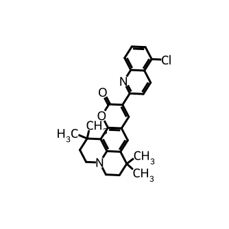 CC1(C)CCN2CCC(C)(C)c3c2c1cc1cc(-c2ccc4c(Cl)cccc4n2)c(=O)oc31